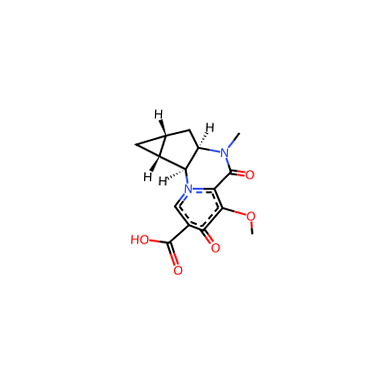 COc1c2n(cc(C(=O)O)c1=O)[C@H]1[C@@H]3C[C@@H]3C[C@H]1N(C)C2=O